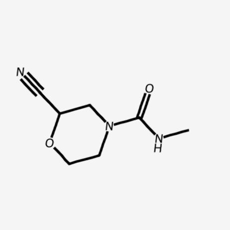 CNC(=O)N1CCOC(C#N)C1